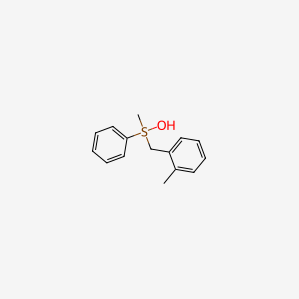 Cc1ccccc1CS(C)(O)c1ccccc1